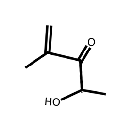 C=C(C)C(=O)[C](C)O